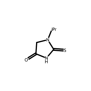 CC(C)N1CC(=O)NC1=S